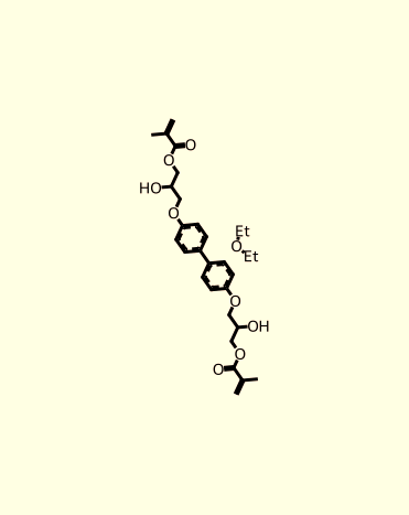 C=C(C)C(=O)OCC(O)COc1ccc(-c2ccc(OCC(O)COC(=O)C(=C)C)cc2)cc1.CCOCC